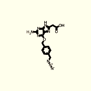 [N-]=[N+]=NCc1ccc(COc2nc(N)nc3[nH]c(CC(=O)O)nc23)cc1